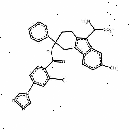 Cc1ccc2c(c1)c(C(N)C(=O)O)c1n2CC(NC(=O)c2ccc(-n3cnnc3)cc2Cl)(c2ccccc2)CC1